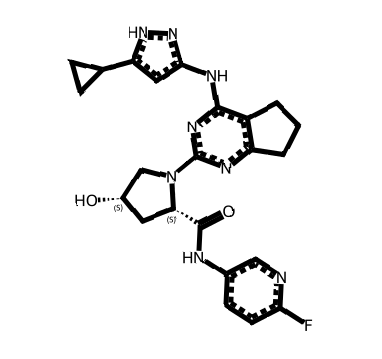 O=C(Nc1ccc(F)nc1)[C@@H]1C[C@H](O)CN1c1nc2c(c(Nc3cc(C4CC4)[nH]n3)n1)CCC2